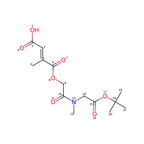 C/C(=C\C(=O)O)C(=O)OCC(=O)N(C)CC(=O)OC(C)(C)C